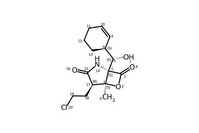 C[C@@]12OC(=O)[C@@]1([C@@H](O)[C@@H]1C=CCCC1)NC(=O)[C@@H]2CCCl